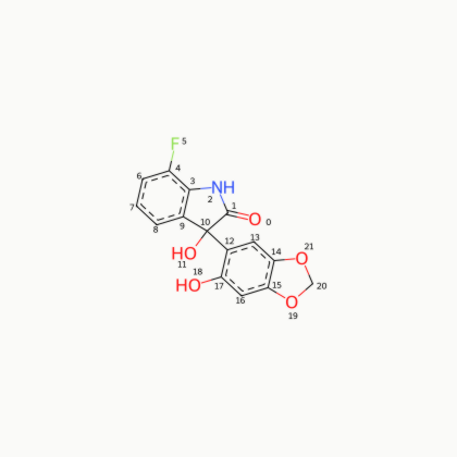 O=C1Nc2c(F)cccc2C1(O)c1cc2c(cc1O)OCO2